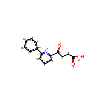 O=C(O)CCC(=O)c1cccc(-c2ccccc2)n1